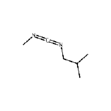 CN=C=NCC(C)C